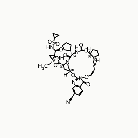 CC[C@@H]1C[C@]1(NC(=O)[C@@H]1C[C@@H]2CN1C(=O)[C@H](C1CCCC1)NC(=O)O[C@@H]1CCC[C@H]1CCC=CCn1c(nc3cc(C#N)ccc3c1=O)O2)C(=O)NS(=O)(=O)C1CC1